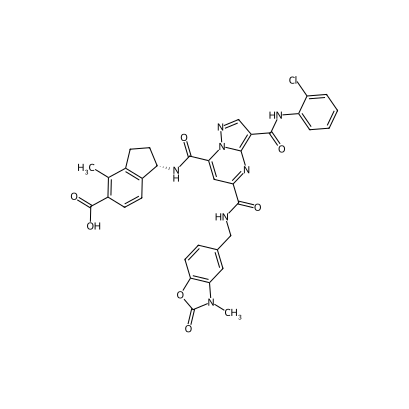 Cc1c(C(=O)O)ccc2c1CC[C@@H]2NC(=O)c1cc(C(=O)NCc2ccc3oc(=O)n(C)c3c2)nc2c(C(=O)Nc3ccccc3Cl)cnn12